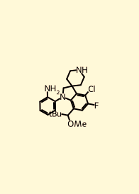 COC(c1cc(F)c(Cl)c2c1N(c1ccccc1N)CC21CCNCC1)C(C)(C)C